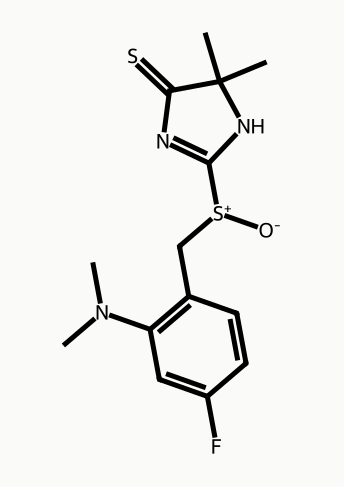 CN(C)c1cc(F)ccc1C[S+]([O-])C1=NC(=S)C(C)(C)N1